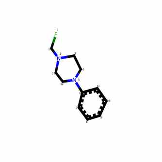 FCN1CCN(c2ccccc2)CC1